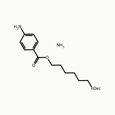 CCCCCCCCCCCCCCCCOC(=O)c1ccc(N)cc1.N